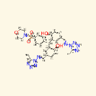 Cc1nnnn1N=Cc1ccc(O)c(C(c2ccc(S(=O)(=O)N3CCOCC3)cc2)c2cc(C=Nn3nnnc3C)ccc2O)c1